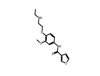 CCNCCOc1ccc(NC(=O)c2ccoc2)cc1OC